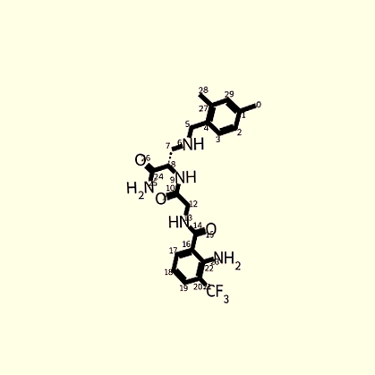 Cc1ccc(CNC[C@H](NC(=O)CNC(=O)c2cccc(C(F)(F)F)c2N)C(N)=O)c(C)c1